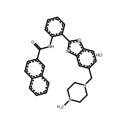 CN1CCN(Cc2ccc3oc(-c4ccccc4NC(=O)c4ccc5ccccc5c4)nc3c2)CC1.Cl